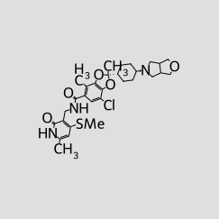 CSc1cc(C)[nH]c(=O)c1CNC(=O)c1cc(Cl)c2c(c1C)OC(C)([C@H]1CC[C@H](N3CC4COCC4C3)CC1)O2